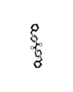 O=C(C(=O)N1CCN(Cc2ccccc2)CC1)N1CCN(Cc2ccccc2)CC1